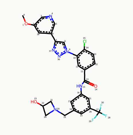 COc1cncc(-c2cn(-c3cc(C(=O)Nc4cc(CN5CC(O)C5)cc(C(F)(F)F)c4)ccc3Cl)nn2)c1